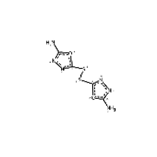 Nc1nnc(SSc2nnc(N)o2)o1